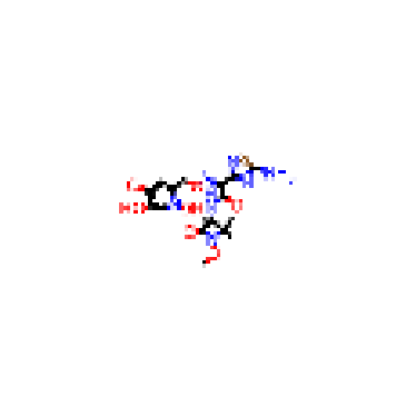 CON1C(=O)[C@@H](NC(=O)/C(=N\OCc2cc(=O)c(O)cn2O)c2nsc(N)n2)C1(C)C